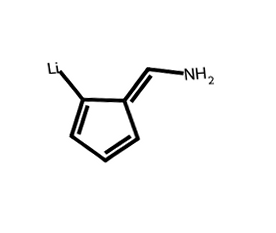 [Li][C]1=CC=CC1=CN